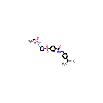 C=CS(=O)(=O)NC[C@H]1CCN(S(=O)(=O)c2ccc(C(=O)NCc3ccc(C(C)C)cc3)cc2)C1